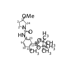 CO[C@@H]1CCN(C(=O)Nc2ccc(C)c(B3OC(C)(C)C(C)(C)O3)c2)C1